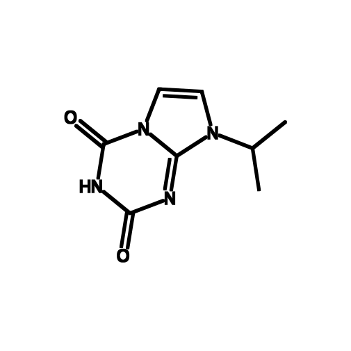 CC(C)n1ccn2c(=O)[nH]c(=O)nc12